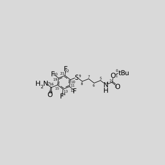 CC(C)(C)OC(=O)NCCCCSc1c(F)c(F)c(C(N)=O)c(F)c1F